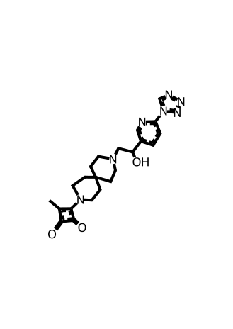 Cc1c(N2CCC3(CCN(CC(O)c4ccc(-n5cnnn5)nc4)CC3)CC2)c(=O)c1=O